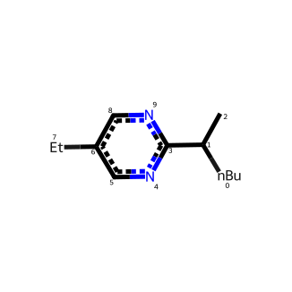 CCCCC(C)c1ncc(CC)cn1